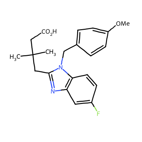 COc1ccc(Cn2c(CC(C)(C)CC(=O)O)nc3cc(F)ccc32)cc1